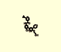 Cc1ccc(NC(=O)c2ccnc(C3CC3)c2)cc1-c1cnc(OCCO)c(N2CCOCC2)c1